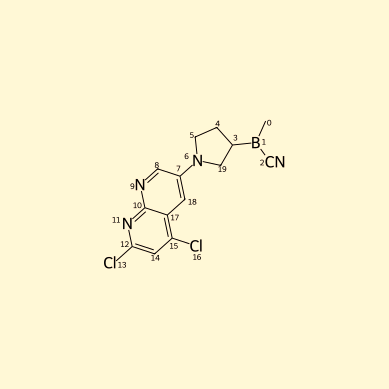 CB(C#N)C1CCN(c2cnc3nc(Cl)cc(Cl)c3c2)C1